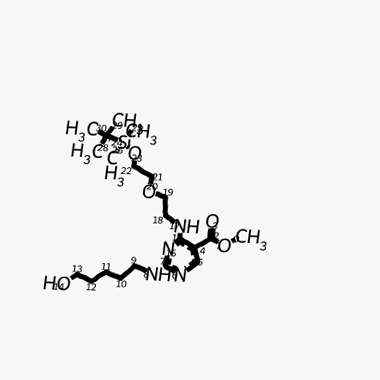 COC(=O)c1cnc(NCCCCCO)nc1NCCOCCO[Si](C)(C)C(C)(C)C